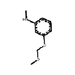 CNc1cccc(OCOC)c1